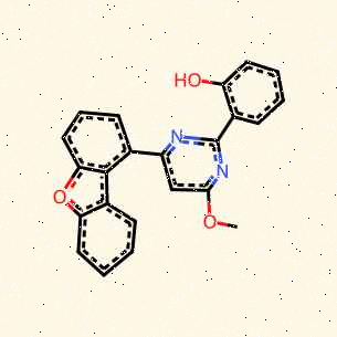 COc1cc(-c2cccc3oc4ccccc4c23)nc(-c2ccccc2O)n1